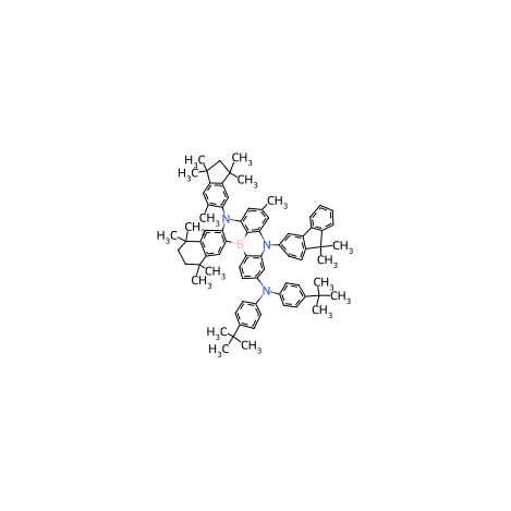 Cc1cc2c3c(c1)N(c1cc4c(cc1C)C(C)(C)CC4(C)C)c1cc4c(cc1B3c1ccc(N(c3ccc(C(C)(C)C)cc3)c3ccc(C(C)(C)C)cc3)cc1N2c1ccc2c(c1)-c1ccccc1C2(C)C)C(C)(C)CCC4(C)C